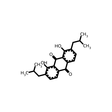 CC(C)Cc1ccc2c(c1O)C(=O)c1c(ccc(CC(C)C)c1O)C2=O